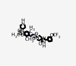 Cc1cc(N(C2CCNCC2)S(C)(=O)=O)cc(C)c1/C=C/S(=O)(=O)N1CCC2(CC1)N=C(c1cccc(OC(F)(F)F)c1)NC2=O